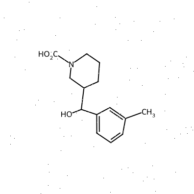 Cc1cccc(C(O)C2CCCN(C(=O)O)C2)c1